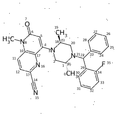 C[C@@H]1CN(c2cc(=O)n(C)c3ccc(C#N)nc23)[C@@H](C)CN1C(c1ccccc1)c1ccccc1F